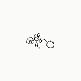 CC(C)N1C2CC1CN(C(=O)OCc1ccccc1)C2